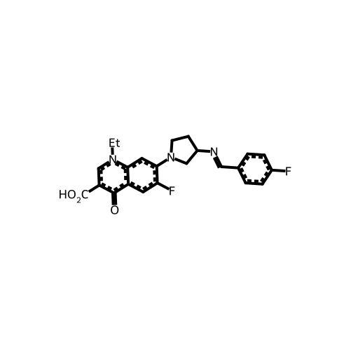 CCn1cc(C(=O)O)c(=O)c2cc(F)c(N3CCC(N=Cc4ccc(F)cc4)C3)cc21